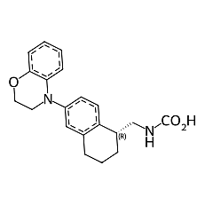 O=C(O)NC[C@@H]1CCCc2cc(N3CCOc4ccccc43)ccc21